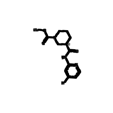 CC(C)(C)OC(=O)N1CCC[C@@H](C(=O)Nc2cc(Br)ccn2)C1